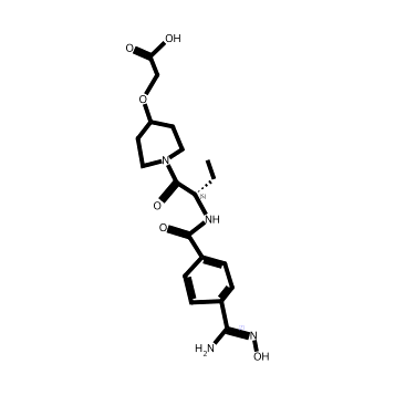 CC[C@H](NC(=O)c1ccc(/C(N)=N/O)cc1)C(=O)N1CCC(OCC(=O)O)CC1